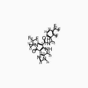 CC(NC(=O)c1cn(C2(C(F)F)CC2)c(=O)cc1NC(C)c1cncn1C)c1cccc(C(F)F)c1F